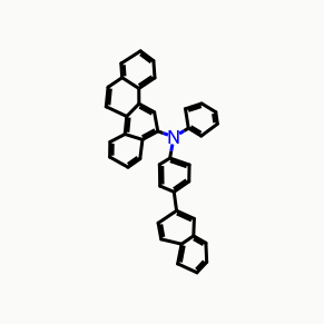 c1ccc(N(c2ccc(-c3ccc4ccccc4c3)cc2)c2cc3c4ccccc4ccc3c3ccccc23)cc1